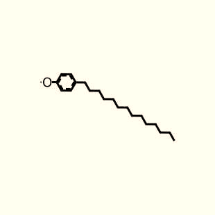 CCCCCCCCCCCCCCc1ccc([O])cc1